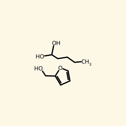 CCCCC(O)O.OCc1ccco1